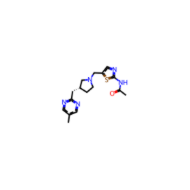 CC(=O)Nc1ncc(CN2CC[C@H](Cc3ncc(C)cn3)C2)s1